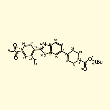 CC(C)(C)OC(=O)N1CC=C(c2ccc3nc(-c4ccc(S(C)(=O)=O)cc4F)sc3c2)CC1